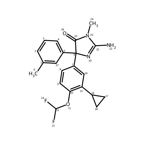 Cc1cccc(C2(c3ccc(OC(F)F)c(C4CC4)c3)N=C(N)N(C)C2=O)c1